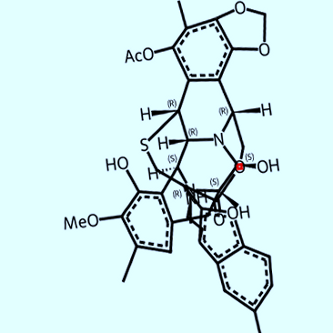 COc1c(C)cc2c(c1O)[C@H]1[C@@H]3[C@@H]4SC[C@]5(NCCc6c5oc5ccc(C)cc65)C(=O)OC[C@@H](c5c6c(c(C)c(OC(C)=O)c54)OCO6)N3[C@@H](O)[C@H](C2)N1C